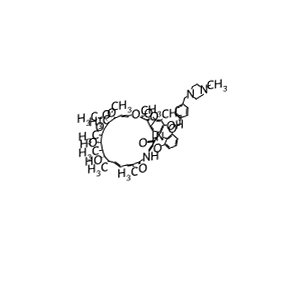 CO[C@H]1/C=C/O[C@@]2(C)Oc3c(C)c(O)c4c(=O)c(c5oc6cccc(OCc7ccc(CN8CCN(C)CC8)cc7)c6nc-5c4c3C2=O)NC(=O)/C(C)=C\C=C\[C@H](C)[C@H](O)[C@@H](C)[C@@H](O)[C@@H](C)[C@H](OC(C)=O)[C@@H]1C